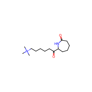 C[N+](C)(C)CCCCCC(=O)C1CCCCC(=O)N1